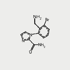 NCc1c(Br)cccc1-n1ccnc1C(N)=O